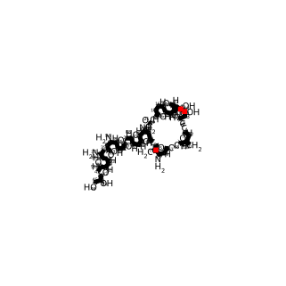 C=C1C[C@@H]2CC[C@]34CC(O)(O)C(O3)[C@@H]3O[C@H]5CC[C@H](CC(=O)O[C@@H]6[C@@H](N)[C@@H]7O[C@@H]8C[C@]9(C[C@@H]%10O[C@]%11(C[C@H](N)[C@@H]%12O[C@@H]%13C[C@@H]([C@@H](O)CO)O[C@@H]%13C[C@@H]%12O%11)C[C@H](N)[C@@H]%10O9)O[C@@H]8C[C@@H]7O[C@H]6C[C@H]6O[C@@H](CC[C@@H]1O2)C[C@@H](N)C6=C)O[C@@H]5[C@H](O4)[C@@H]3C